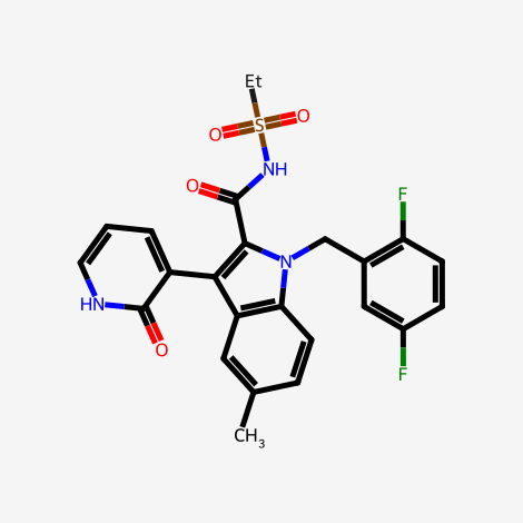 CCS(=O)(=O)NC(=O)c1c(-c2ccc[nH]c2=O)c2cc(C)ccc2n1Cc1cc(F)ccc1F